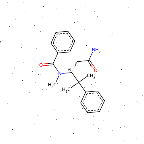 CN(C(=O)c1ccccc1)[C@H](CC(N)=O)C(C)(C)c1ccccc1